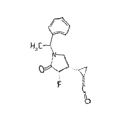 CC(c1ccccc1)N1C[C@H](C2CC2=C=O)[C@H](F)C1=O